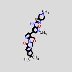 CN1CCc2nc(Nc3cc(-c4ccnc(N5CCn6c(cc7c6CC(C)(C)C7)C5=O)c4C=O)cn(C)c3=O)sc2C1